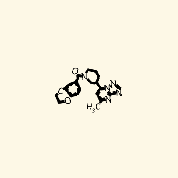 Cc1cc(C2CCCN(C(=O)c3ccc4c(c3)CCCO4)C2)n2ncnc2n1